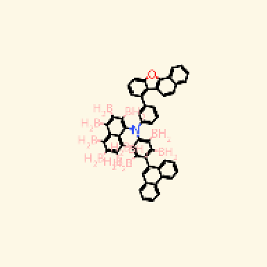 Bc1c(B)c(N(c2cccc(-c3cccc4oc5c6ccccc6ccc5c34)c2)c2c(B)c(B)c(B)c3c(B)c(B)c(B)c(B)c23)c(B)c(B)c1-c1cc2ccccc2c2ccccc12